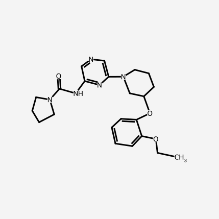 CCOc1ccccc1OC1CCCN(c2cncc(NC(=O)N3CCCC3)n2)C1